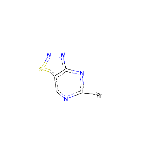 CC(C)c1ncc2snnc2n1